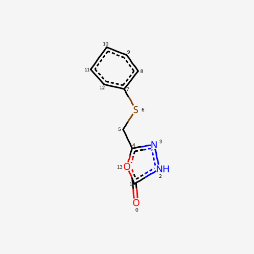 O=c1[nH]nc(CSc2ccccc2)o1